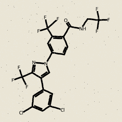 O=C(NCC(F)(F)F)c1ccc(-n2cc(-c3cc(Cl)cc(Cl)c3)c(C(F)(F)F)n2)cc1C(F)(F)F